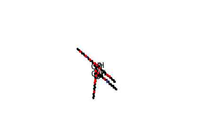 CCCCCCCC/C=C/CCCCCCCC(=O)NC(CSSC(NC(=O)CCCCCCC/C=C/CCCCCCCC)C(=O)NCCCCCCCCCCCCCCCC)C(=O)NCCCCCCCCCCCCCCC